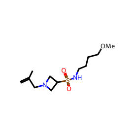 C=C(C)CN1CC(S(=O)(=O)NCCCCOC)C1